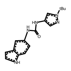 CC(C)(C)n1cc(NC(=O)Nc2ccc3[nH]ccc3c2)cn1